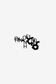 CCC1(C)CC(NC(=O)NC(C)C)C(C)C(C)(CC)N1OC(C)c1ccccc1